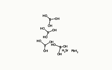 OB(O)O.OB(O)O.OB(O)O.OB(O)O.[PbH2].[SrH2]